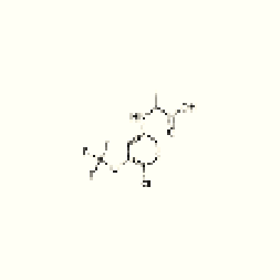 CC(Nc1ccc(Cl)c(OC(F)(F)F)c1)C(=O)O